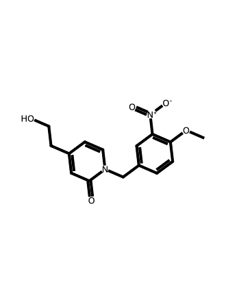 COc1ccc(Cn2ccc(CCO)cc2=O)cc1[N+](=O)[O-]